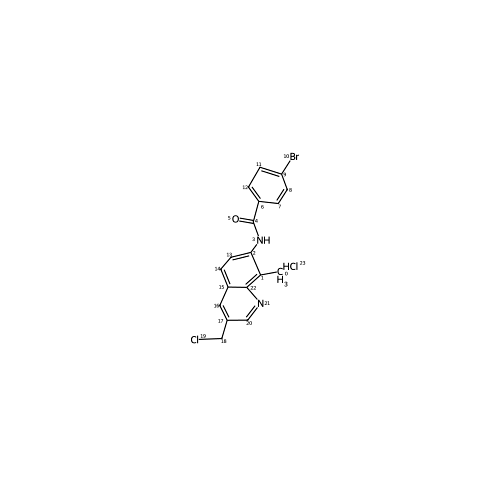 Cc1c(NC(=O)c2ccc(Br)cc2)ccc2cc(CCl)cnc12.Cl